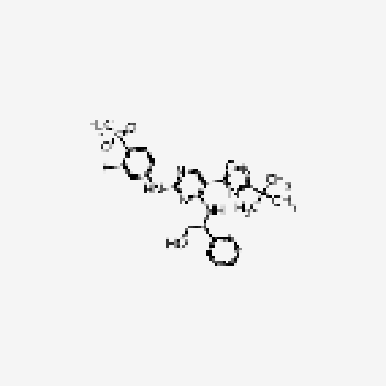 CC(C)(C)c1noc(-c2cnc(Nc3ccc(S(C)(=O)=O)c(F)c3)nc2N[C@H](CO)c2ccccc2)n1